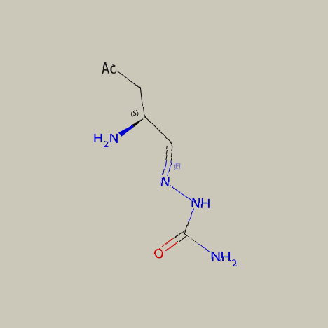 CC(=O)C[C@H](N)/C=N/NC(N)=O